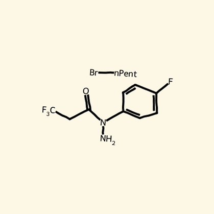 CCCCCBr.NN(C(=O)CC(F)(F)F)c1ccc(F)cc1